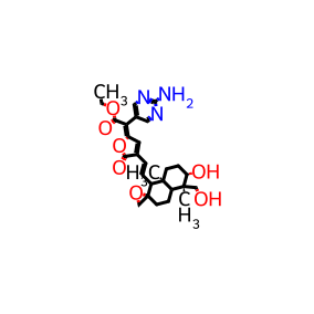 CCOC(=O)/C(=C1C=C(/C=C/C2C3(CCC4[C@]2(C)CC[C@@H](O)[C@@]4(C)CO)CO3)C(=O)O/1)c1cnc(N)nc1